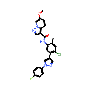 COc1ccc2c(C(=O)Nc3cc(-c4cnn(-c5ccc(F)cc5)c4)c(Cl)cc3C)cnn2c1